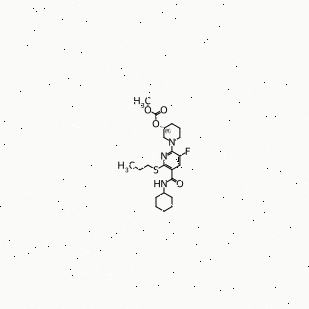 CCCSc1nc(N2CCC[C@@H](OC(=O)OC)C2)c(F)cc1C(=O)NC1CCCCC1